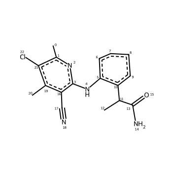 Cc1nc(Nc2ccccc2C(C)C(N)=O)c(C#N)c(C)c1Cl